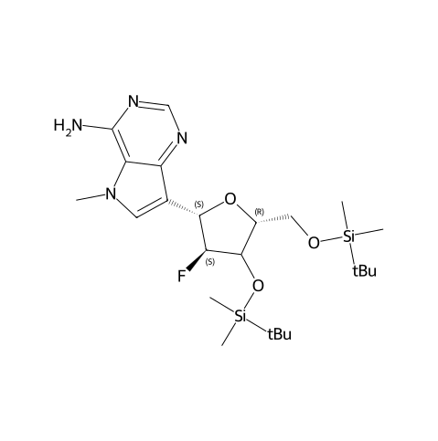 Cn1cc([C@@H]2O[C@H](CO[Si](C)(C)C(C)(C)C)C(O[Si](C)(C)C(C)(C)C)[C@H]2F)c2ncnc(N)c21